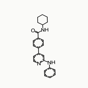 O=C(NC1CCCCC1)c1ccc(-c2ccnc(Nc3ccccc3)c2)cc1